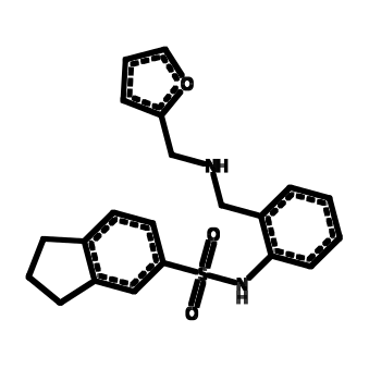 O=S(=O)(Nc1ccccc1CNCc1ccco1)c1ccc2c(c1)CCC2